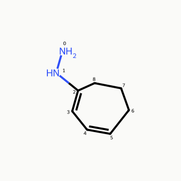 NNC1=CC=CCCC1